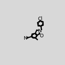 Cc1cc(C#N)cc2c1C(=O)N(Cc1ccc(Cl)cc1)C2